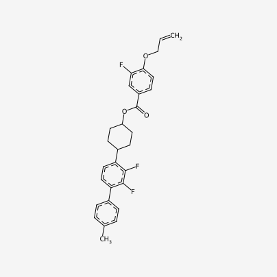 C=CCOc1ccc(C(=O)OC2CCC(c3ccc(-c4ccc(C)cc4)c(F)c3F)CC2)cc1F